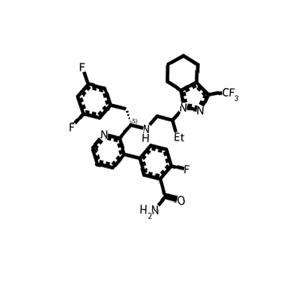 CCC(CN[C@@H](Cc1cc(F)cc(F)c1)c1ncccc1-c1ccc(F)c(C(N)=O)c1)n1nc(C(F)(F)F)c2c1CCCC2